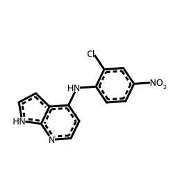 O=[N+]([O-])c1ccc(Nc2ccnc3[nH]ccc23)c(Cl)c1